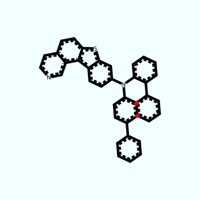 c1ccc(-c2ccc(N(c3ccc4c(c3)sc3ccc5ccncc5c34)c3ccccc3-c3ccccc3)cc2)cc1